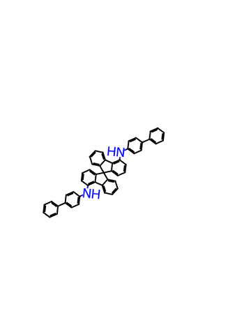 c1ccc(-c2ccc(Nc3cccc4c3-c3ccccc3C43c4ccccc4-c4c(Nc5ccc(-c6ccccc6)cc5)cccc43)cc2)cc1